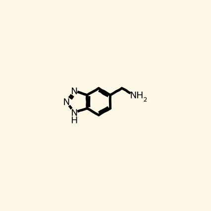 NCc1ccc2[nH]nnc2c1